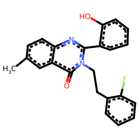 Cc1ccc2nc(-c3ccccc3O)n(CCc3ccccc3F)c(=O)c2c1